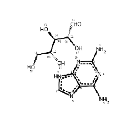 Nc1nc(N)c2nc[nH]c2n1.O=C[C@H](O)[C@H](O)[C@H](O)CO